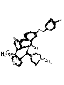 COC(O)c1coc2c1c(C(c1ccncc1)N1CCN(C)CC1)c(O)c1cc(OCc3ccc(F)cc3)ccc12